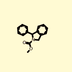 COC(=O)N1Cc2ccccc2C1c1ccccc1